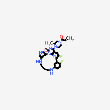 C=CC(=O)N1CCN(c2nc(=O)n3c4nc(c(F)cc24)-c2cc(ccc2F)NCCCCNc2cnc(C(C)C)c-3c2)[C@@H](C)C1